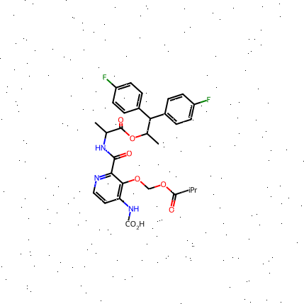 CC(C)C(=O)OCOc1c(NC(=O)O)ccnc1C(=O)NC(C)C(=O)OC(C)C(c1ccc(F)cc1)c1ccc(F)cc1